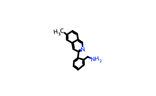 Cc1ccc2cnc(-c3ccccc3CN)cc2c1